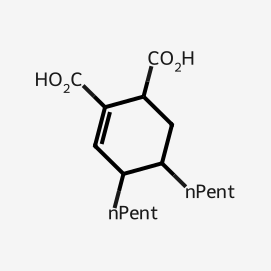 CCCCCC1C=C(C(=O)O)C(C(=O)O)CC1CCCCC